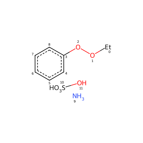 CCOOc1ccccc1.N.O=S(=O)(O)O